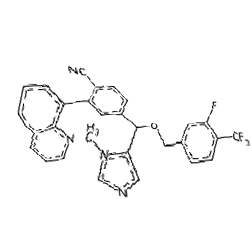 Cn1cncc1C(OCc1ccc(C(F)(F)F)c(F)c1)c1ccc(C#N)c(-c2cccc3cccnc23)c1